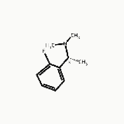 C[C@H](c1ccccc1F)N(C)C